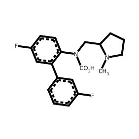 CN1CCCC1CN(C(=O)O)c1ccc(F)cc1-c1cccc(F)c1